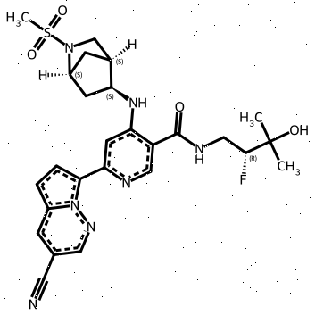 CC(C)(O)[C@H](F)CNC(=O)c1cnc(-c2ccc3cc(C#N)cnn23)cc1N[C@H]1C[C@@H]2C[C@H]1CN2S(C)(=O)=O